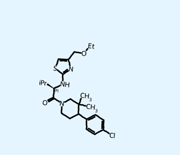 CCOCc1csc(N[C@@H](C(=O)N2CCC(c3ccc(Cl)cc3)C(C)(C)C2)C(C)C)n1